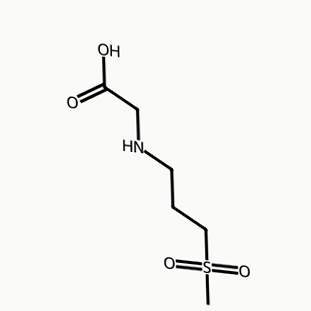 CS(=O)(=O)CCCNCC(=O)O